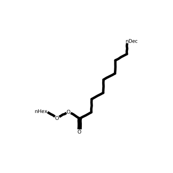 CCCCCCCCCCCCCCCCCC(=O)OOCCCCCC